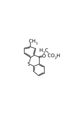 CC(=O)O.Cc1ccc2sc3ccccc3c(=O)c2c1